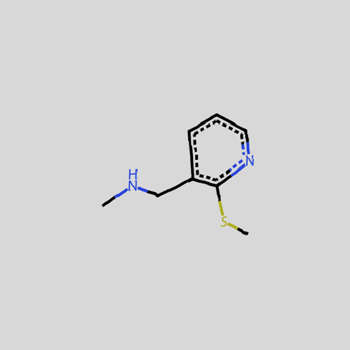 CNCc1cccnc1SC